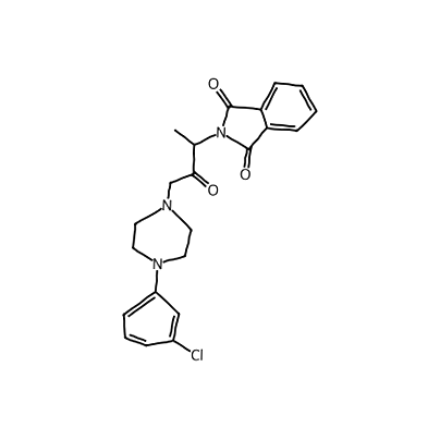 CC(C(=O)CN1CCN(c2cccc(Cl)c2)CC1)N1C(=O)c2ccccc2C1=O